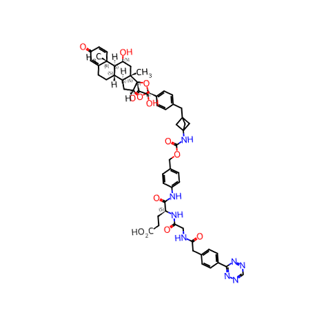 C[C@]12C=CC(=O)C=C1CC[C@@H]1[C@@H]2[C@@H](O)C[C@@]2(C)[C@H]1C[C@H]1O[C@H](c3ccc(CC45CC(NC(=O)OCc6ccc(NC(=O)[C@H](CCC(=O)O)NC(=O)CNC(=O)Cc7ccc(-c8nncnn8)cc7)cc6)(C4)C5)cc3)O[C@]12C(=O)CO